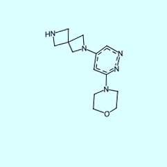 c1nnc(N2CCOCC2)cc1N1CC2(CNC2)C1